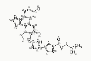 CC(C)COC(=O)c1cc(-c2cnc([C@@H]3CCc4nc(-c5cc(Cl)ccc5-n5cnnn5)cc(=O)n43)[nH]2)cs1